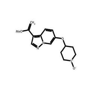 C=C(OC)c1cnn2cc(OC3CC[S+]([O-])CC3)ccc12